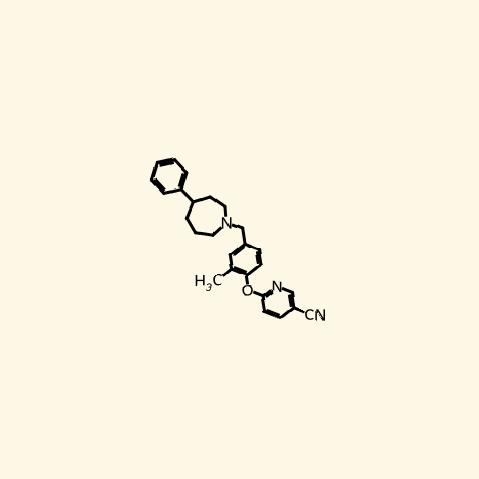 Cc1cc(CN2CCCC(c3ccccc3)CC2)ccc1Oc1ccc(C#N)cn1